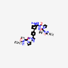 COC(=O)N[C@H](C(=O)N1CCC[C@H]1C(=O)Nc1n[nH]c2ccc(-c3ccc(-c4cnc([C@@H]5CCCN5C(=O)[C@@H](NC(=O)OC)C(C)C)[nH]4)cc3)cc12)C(C)C